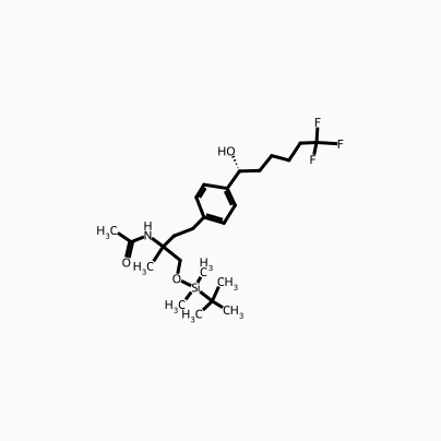 CC(=O)NC(C)(CCc1ccc([C@H](O)CCCCC(F)(F)F)cc1)CO[Si](C)(C)C(C)(C)C